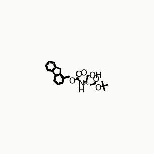 CC(C)(C)OC(=O)C[C@H](NC(=O)OCc1cccc2c1Cc1ccccc1-2)C(=O)O